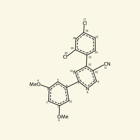 COc1cc(OC)cc(-c2ncc(C#N)c(-c3ccc(Cl)cc3Cl)n2)c1